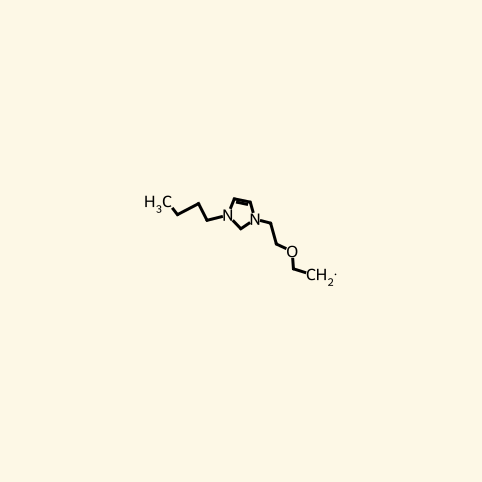 [CH2]COCCN1C=CN(CCCC)C1